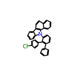 Clc1ccc(-c2c(-c3ccccc3)cccc2-n2c3ccccc3c3ccc4ccccc4c32)cc1